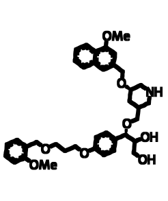 COc1ccccc1COCCCOc1ccc([C@H](OCC2CNC[C@H](OCc3cc(OC)c4ccccc4c3)C2)C(O)CO)cc1